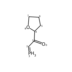 O=C(C=[PH3])C1CCCO1